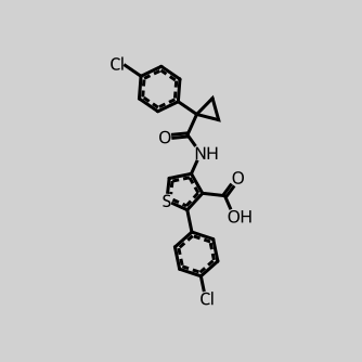 O=C(O)c1c(NC(=O)C2(c3ccc(Cl)cc3)CC2)csc1-c1ccc(Cl)cc1